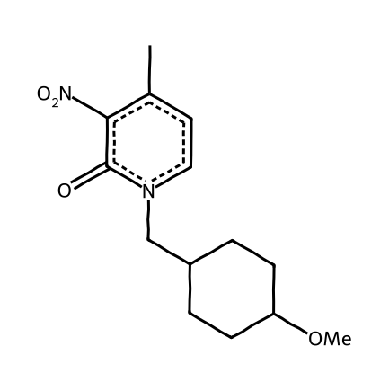 COC1CCC(Cn2ccc(C)c([N+](=O)[O-])c2=O)CC1